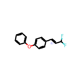 FC(F)/C=C/c1ccc(Oc2ccccc2)cc1